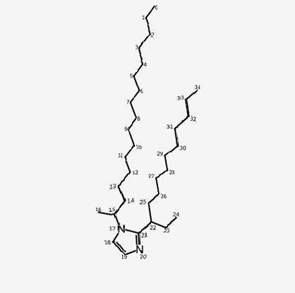 CCCCCCCCCCCCCCCC(C)n1ccnc1C(CC)CCCCCCCCCC